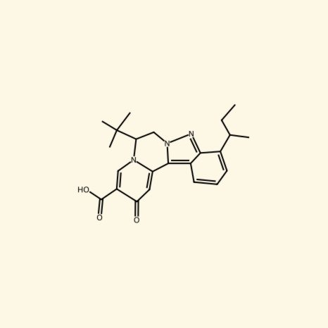 CCC(C)c1cccc2c3n(nc12)CC(C(C)(C)C)n1cc(C(=O)O)c(=O)cc1-3